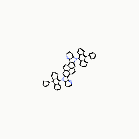 c1ccc(-c2c3ccccc3c(-n3c4cccnc4c4c5ccc6cc7c(c8ccc(cc43)c5c68)c3ncccc3n7-c3c4ccccc4c(-c4ccccc4)c4ccccc34)c3ccccc23)cc1